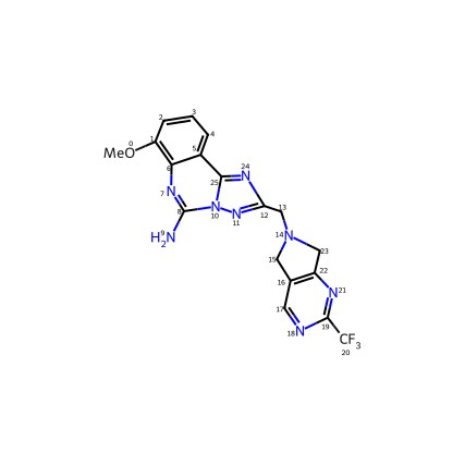 COc1cccc2c1nc(N)n1nc(CN3Cc4cnc(C(F)(F)F)nc4C3)nc21